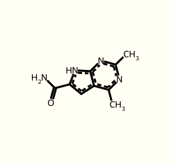 Cc1nc(C)c2cc(C(N)=O)[nH]c2n1